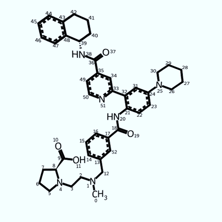 CN(CCN1CCC[C@H]1C(=O)O)Cc1cccc(C(=O)Nc2ccc(N3CCCCC3)cc2-c2cc(C(=O)N[C@H]3CCCc4ccccc43)ccn2)c1